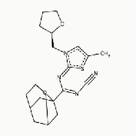 Cc1cn(C[C@H]2CCCO2)c(=NC(=NC#N)C23CC4CC(CC(C4)O2)C3)s1